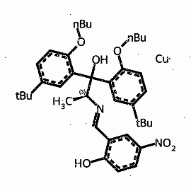 CCCCOc1ccc(C(C)(C)C)cc1C(O)(c1cc(C(C)(C)C)ccc1OCCCC)[C@H](C)N=Cc1cc([N+](=O)[O-])ccc1O.[Cu]